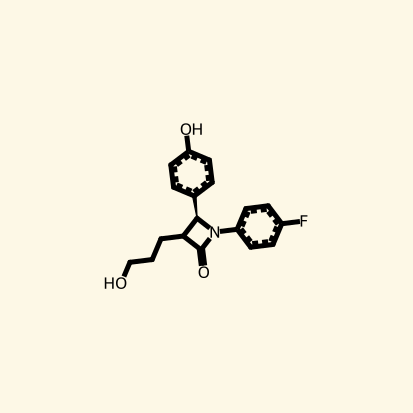 O=C1C(CCCO)[C@@H](c2ccc(O)cc2)N1c1ccc(F)cc1